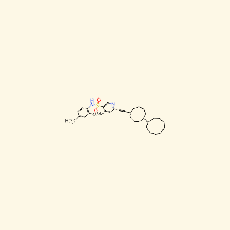 COc1cc(C(=O)O)ccc1NS(=O)(=O)c1ccc(C#CC2CCCCC(C3CCCCCCCC3)CCC2)nc1